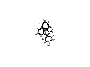 c1ccc(C2(N3C[N]c4ccccc43)CCNCC2)cc1